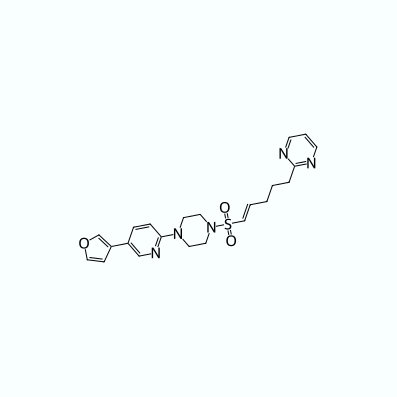 O=S(=O)(C=CCCCc1ncccn1)N1CCN(c2ccc(-c3ccoc3)cn2)CC1